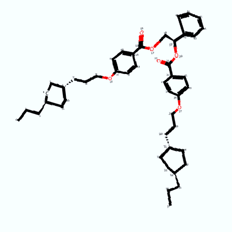 CCC[C@H]1CC[C@H](CCCOc2ccc(C(=O)OC[C@H](OC(=O)c3ccc(OCCC[C@H]4CC[C@H](CCC)CC4)cc3)c3ccccc3)cc2)CC1